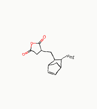 CCCCCC1C2C=CC(C2)C1CC1CC(=O)OC1=O